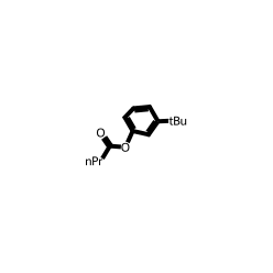 CCCC(=O)Oc1cccc(C(C)(C)C)c1